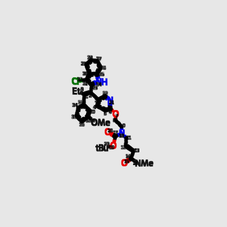 CC/C(=C(/c1ccc(OCCN(C/C=C/C(=O)NC)C(=O)OC(C)(C)C)nc1)c1[nH]c2ccccc2c1Cl)c1cccc(OC)c1